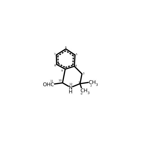 CC1(C)Cc2ccccc2C(C=O)N1